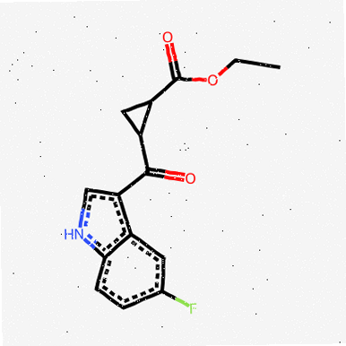 CCOC(=O)C1CC1C(=O)c1c[nH]c2ccc(F)cc12